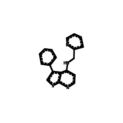 c1ccc(-c2csc3nccc(NCc4ccccn4)c23)cc1